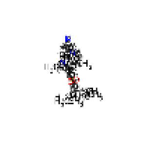 CC(C)(C)c1ccc(B(c2ccc(C(C)(C)C)cc2)c2ccc(S(=O)(=O)c3ccc(B(c4ccc(C(C)(C)C)cc4)c4ccc(C(C)(C)Cc5cccc(N6c7ccccc7C7(c8cc(C#N)ccc8-c8ccc(C#N)cc87)c7ccccc76)c5)cc4)cc3)cc2)cc1